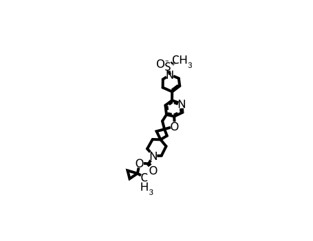 C[S+]([O-])N1CC=C(c2cc3c(cn2)OC2(C3)CC3(CCN(C(=O)OC4(C)CC4)CC3)C2)CC1